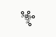 O=C(OC[C@]1(O)OC[C@@H](OC(=O)c2ccccc2)[C@@H](OC(=O)c2ccccc2)[C@@H]1OC(=O)c1ccccc1)c1ccccc1